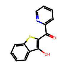 O=C(c1ccccn1)c1sc2ccccc2c1O